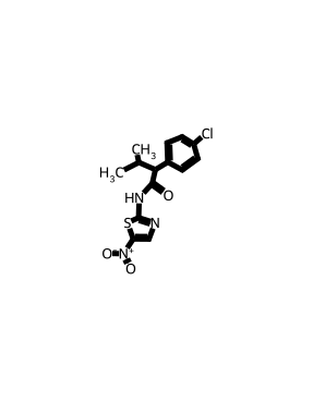 CC(C)C(C(=O)Nc1ncc([N+](=O)[O-])s1)c1ccc(Cl)cc1